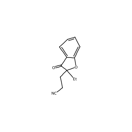 CCC1(CCC#N)Oc2ccccc2C1=O